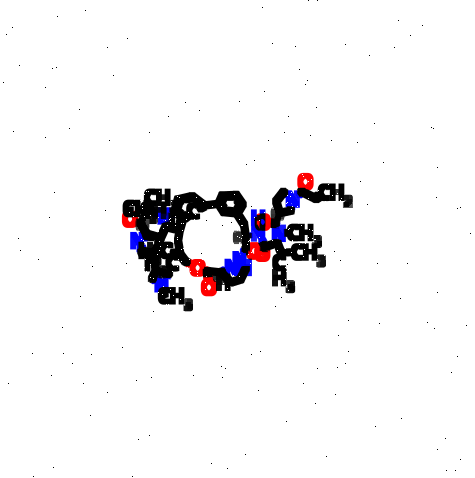 C=CC(=O)N1CC[C@H](C(=O)N(C)C(C(=O)N[C@H]2Cc3cccc(c3)-c3ccc4c(c3)c(c(-c3cc(C5CN(C)C5)cnc3[C@H](C)OC)n4CC)CC(C)(C)COC(=O)[C@@H]3CCCN(N3)C2=O)C(C)C)C1